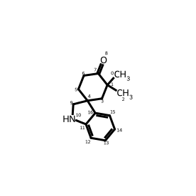 CC1(C)CC2(CCC1=O)CNc1ccccc12